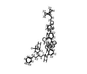 CC1(C)CC(C(CCNc2cccc(S(=O)(=O)NC(=O)c3ccc(-n4ccc(OCCC5C6(CC6)C56CC6)n4)nc3Cl)n2)CCc2ccccc2)CN1